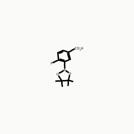 CC1(C)OB(c2cc(C(=O)O)ccc2F)OC1(C)C